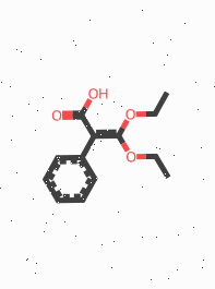 CCOC(OCC)=C(C(=O)O)c1ccccc1